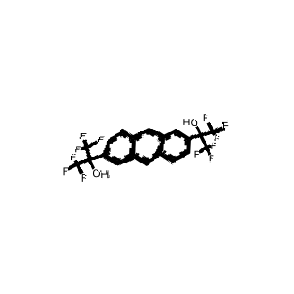 OC(c1ccc2cc3cc(C(O)(C(F)(F)F)C(F)(F)F)ccc3cc2c1)(C(F)(F)F)C(F)(F)F